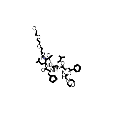 COCCOCCOCCO/N=C(/C(CC(C)C)NC(=O)[C@H](Cc1ccccc1)NC(=O)[C@H](CCC(C)C)NC(=O)[C@H](CCc1ccccc1)NC(=O)CN1CCOCC1)[C@@]1(C)CO1